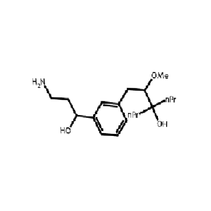 CCCC(O)(CCC)C(Cc1cccc(C(O)CCN)c1)OC